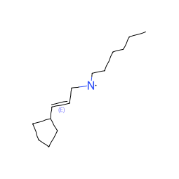 CCCCCC[N]C/C=C/C1CCCC1